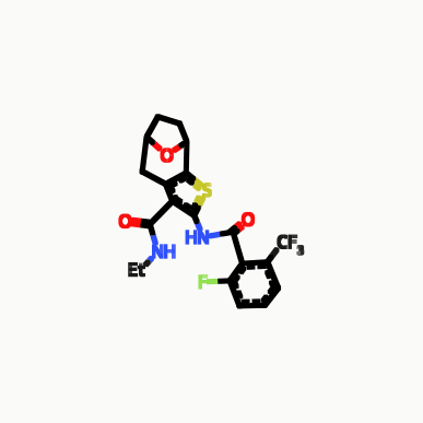 CCNC(=O)c1c(NC(=O)c2c(F)cccc2C(F)(F)F)sc2c1CC1CCC2O1